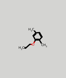 C=CCOc1cc(C)ccc1C